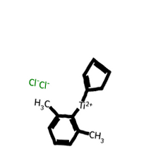 Cc1cccc(C)[c]1[Ti+2][C]1=CC=CC1.[Cl-].[Cl-]